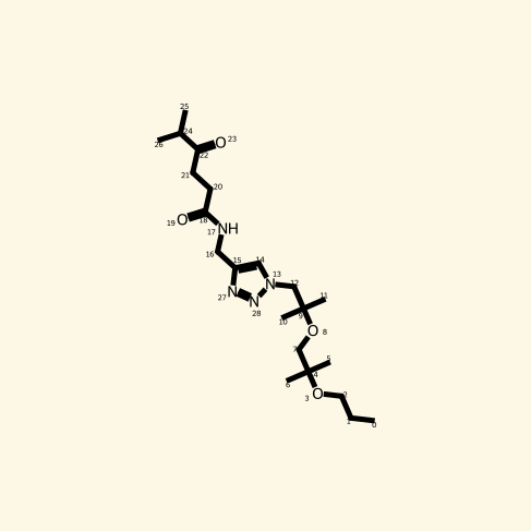 CCCOC(C)(C)COC(C)(C)Cn1cc(CNC(=O)CCC(=O)C(C)C)nn1